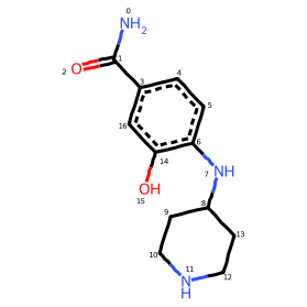 NC(=O)c1ccc(NC2CCNCC2)c(O)c1